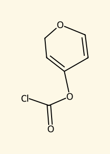 O=C(Cl)OC1=CCOC=C1